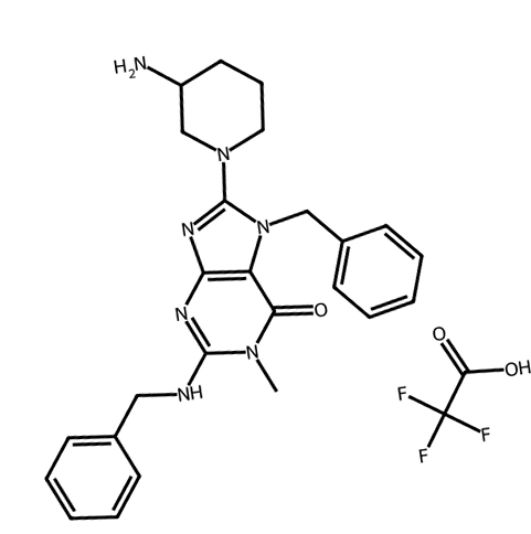 Cn1c(NCc2ccccc2)nc2nc(N3CCCC(N)C3)n(Cc3ccccc3)c2c1=O.O=C(O)C(F)(F)F